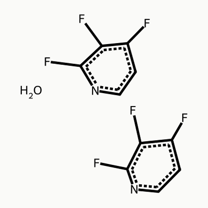 Fc1ccnc(F)c1F.Fc1ccnc(F)c1F.O